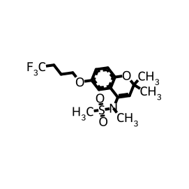 CN(C1=CC(C)(C)Oc2ccc(OCCCC(F)(F)F)cc21)S(C)(=O)=O